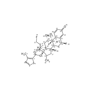 Cc1ncsc1C(=O)O[C@]1(C(=O)SCF)C(C)C[C@H]2[C@@H]3C[C@H](F)C4=CC(=O)C=C[C@]4(C)[C@@]3(F)[C@@H](O)C[C@@]21C